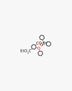 CCOC(=O)c1ccc(C(=O)OCC)c(Oc2ccccc2)c1.O=C(c1ccccc1)c1ccccc1